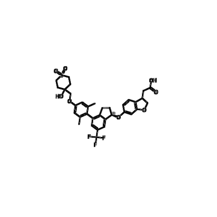 Cc1cc(OCC2(O)CCS(=O)(=O)CC2)cc(C)c1-c1cc(C(F)(F)F)cc2c1CC[C@H]2Oc1ccc2c(c1)OCC2CC(=O)O